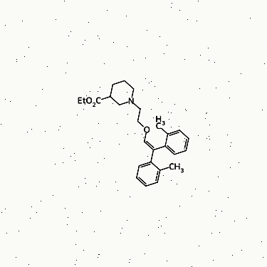 CCOC(=O)C1CCCN(CCOC=C(c2ccccc2C)c2ccccc2C)C1